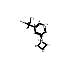 FC(F)(F)c1cncc(N2C[CH]C2)c1